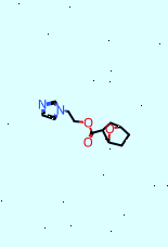 O=C(OCCn1ccnc1)C1CC2CCC1O2